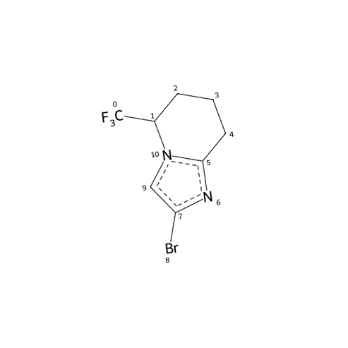 FC(F)(F)C1CCCc2nc(Br)cn21